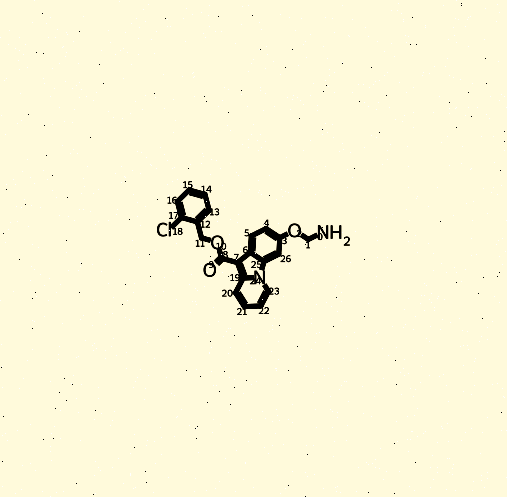 NCOc1ccc2c(C(=O)OCc3ccccc3Cl)c3ccccn3c2c1